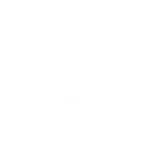 CCCCS(O)=S